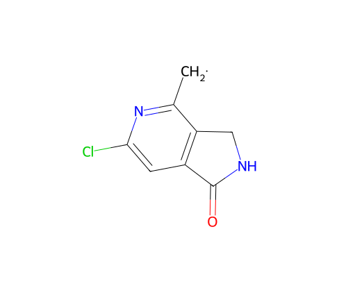 [CH2]c1nc(Cl)cc2c1CNC2=O